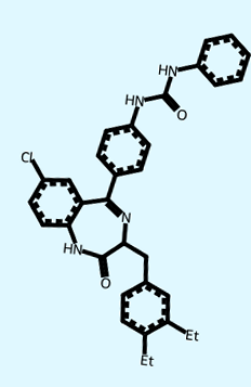 CCc1ccc(CC2N=C(c3ccc(NC(=O)Nc4ccccc4)cc3)c3cc(Cl)ccc3NC2=O)cc1CC